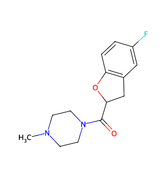 CN1CCN(C(=O)C2Cc3cc(F)ccc3O2)CC1